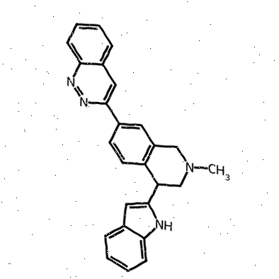 CN1Cc2cc(-c3cc4ccccc4nn3)ccc2C(c2cc3ccccc3[nH]2)C1